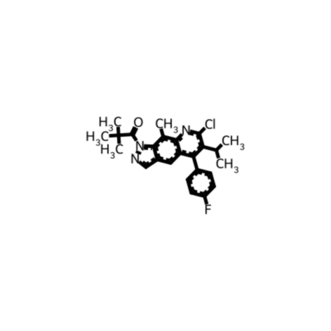 Cc1c2nc(Cl)c(C(C)C)c(-c3ccc(F)cc3)c2cc2cnn(C(=O)C(C)(C)C)c12